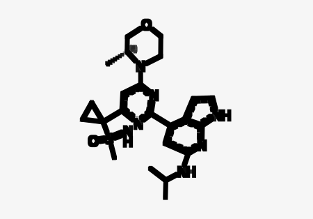 CC(C)Nc1cc(-c2nc(N3CCOC[C@H]3C)cc(C3(S(C)(=N)=O)CC3)n2)c2cc[nH]c2n1